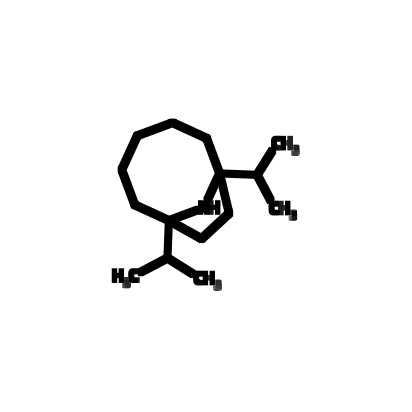 CC(C)C12CCCCCC(C(C)C)(CC1)N2